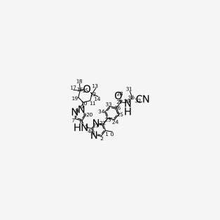 Cc1cnc(Nc2cnn(C3CC(C)(C)OC(C)(C)C3)c2)nc1-c1ccc(C(=O)N[C@H](C)C#N)cc1